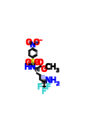 COC(=O)[C@H](C/C=C/[C@@H](N)C(F)(F)F)NS(=O)(=O)c1ccc([N+](=O)[O-])cc1